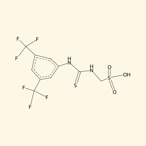 O=S(=O)(O)CNC(=S)Nc1cc(C(F)(F)F)cc(C(F)(F)F)c1